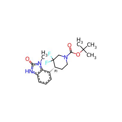 Cn1c(=O)[nH]c2cccc([C@H]3CCN(C(=O)OC(C)(C)C)CC3(F)F)c21